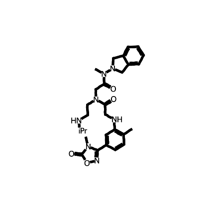 Cc1ccc(-c2noc(=O)n2C)cc1NCC(=O)N(CCNC(C)C)CC(=O)N(C)N1Cc2ccccc2C1